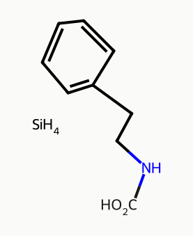 O=C(O)NCCc1ccccc1.[SiH4]